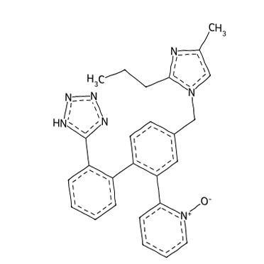 CCCc1nc(C)cn1Cc1ccc(-c2ccccc2-c2nnn[nH]2)c(-c2cccc[n+]2[O-])c1